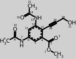 COC(=O)c1cc(NC(C)=O)cc(NC(C)=O)c1C#CCO